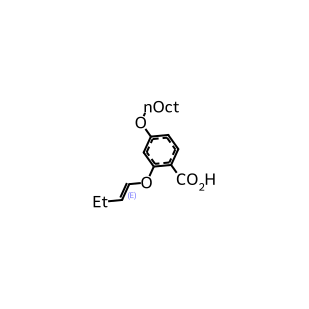 CC/C=C/Oc1cc(OCCCCCCCC)ccc1C(=O)O